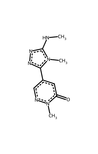 CNc1nnc(-c2cnn(C)c(=O)c2)n1C